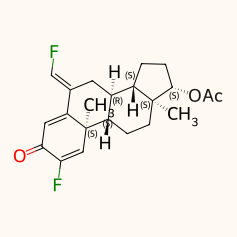 CC(=O)O[C@H]1CC[C@H]2[C@@H]3CC(=CF)C4=CC(=O)C(F)=C[C@]4(C)[C@H]3CC[C@]12C